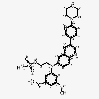 COc1cc(OC)cc(N(CCOS(C)(=O)=O)c2ccc3ncc(-c4ccc(N5CCOCC5)nc4)nc3c2)c1